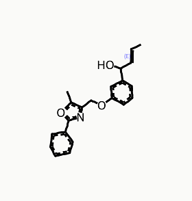 C/C=C/C(O)c1cccc(OCc2nc(-c3ccccc3)oc2C)c1